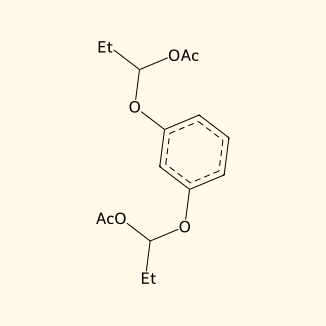 CCC(OC(C)=O)Oc1cccc(OC(CC)OC(C)=O)c1